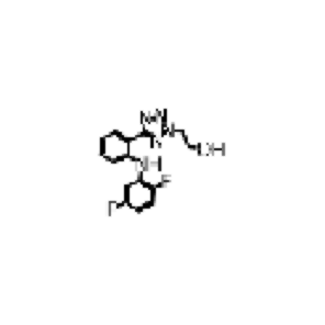 OCCn1nnc(-c2ccccc2Nc2cc(F)ccc2F)n1